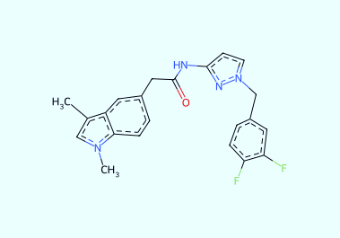 Cc1cn(C)c2ccc(CC(=O)Nc3ccn(Cc4ccc(F)c(F)c4)n3)cc12